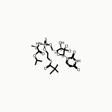 CC(C)OC(=O)[C@@H](C)N[P@](=S)(OCCSC(=O)C(C)(C)C)OC[C@H]1O[C@@H](n2ccc(=O)[nH]c2=O)C(Cl)(Cl)[C@@H]1O